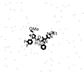 CCOc1ncc(-c2nn(-c3ccccc3)c(NC(=O)N[C@@H]3C[C@@H](CCOC)N(C)[C@H]3c3ccc(F)c(F)c3)c2C)cn1